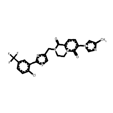 Cc1cn(-c2ccc3n(c2=O)CCN(Cc2csc(-c4cc(C(F)(F)F)ccc4Cl)n2)C3=O)cn1